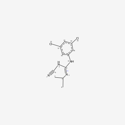 CC(C)/N=C(\NC#N)Nc1cc(Cl)cc(Cl)c1